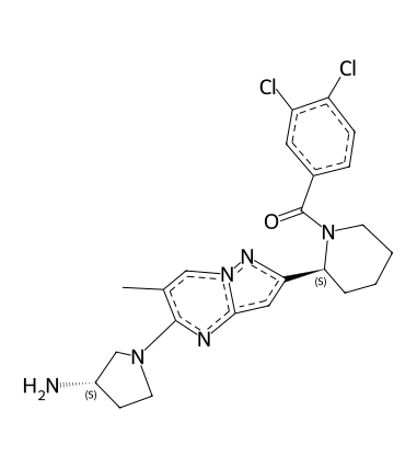 Cc1cn2nc([C@@H]3CCCCN3C(=O)c3ccc(Cl)c(Cl)c3)cc2nc1N1CC[C@H](N)C1